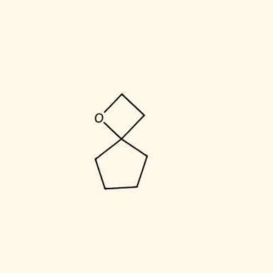 C1CCC2(C1)CCO2